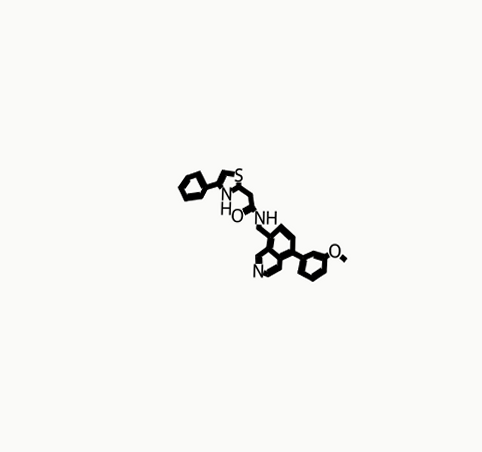 COc1cccc(-c2ccc(CNC(=O)CC3NC(c4ccccc4)=CS3)c3cnccc23)c1